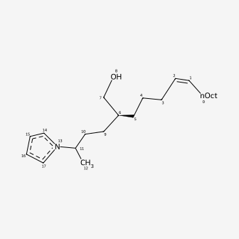 CCCCCCCC/C=C\CCC[C@H](CO)CCC(C)n1cccc1